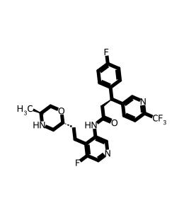 C[C@H]1CO[C@H](CCc2c(F)cncc2NC(=O)C[C@@H](c2ccc(F)cc2)c2ccc(C(F)(F)F)nc2)CN1